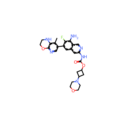 Cc1c(-c2cc3cc(NC(=O)OC4CC(N5CCOCC5)C4)ncc3c(N)c2F)cnc2c1NCCO2